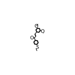 CCSc1ccc(C(=O)/C=C/c2cc(OC)cc(OC)c2)cc1